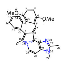 COc1ccc(OC)c(/C=C2\C(c3ccccc3)=C(C)[n+]3ccc4c(nc(C)n4C)c32)c1